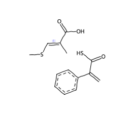 C=C(C(=O)S)c1ccccc1.CS/C=C(\C)C(=O)O